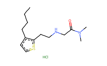 CCCCc1ccsc1CCNCC(=O)N(C)C.Cl